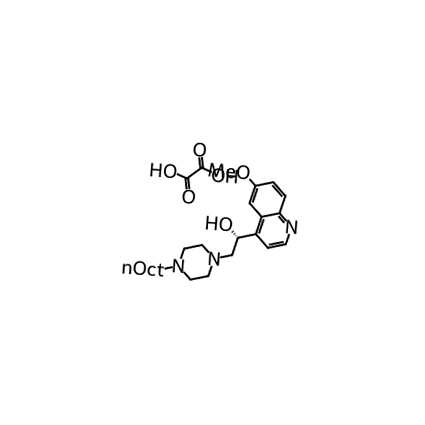 CCCCCCCCN1CCN(C[C@H](O)c2ccnc3ccc(OC)cc23)CC1.O=C(O)C(=O)O